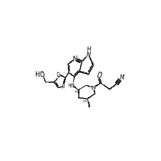 C[C@H]1C[C@@H](Nc2c(-c3ncc(CO)o3)cnc3[nH]ccc23)CN(C(=O)CC#N)C1